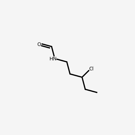 CCC(Cl)CCNC=O